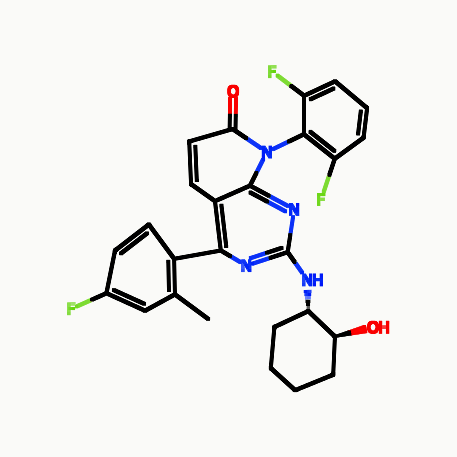 Cc1cc(F)ccc1-c1nc(N[C@H]2CCCC[C@@H]2O)nc2c1ccc(=O)n2-c1c(F)cccc1F